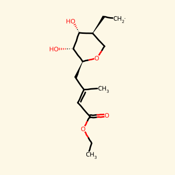 [CH2]C[C@H]1CO[C@@H](C/C(C)=C/C(=O)OCC)[C@H](O)[C@@H]1O